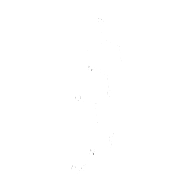 Cn1ccc(C(=O)Oc2ccc(Br)cn2)c1